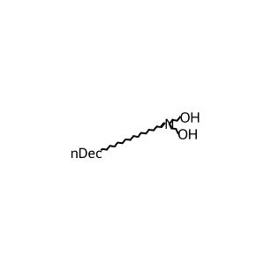 CCCCCCCCCCCCCCCCCCCCCCCCCC=CN(CCCO)CCCO